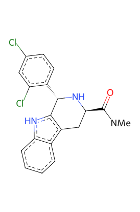 CNC(=O)[C@H]1Cc2c([nH]c3ccccc23)[C@H](c2ccc(Cl)cc2Cl)N1